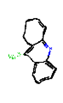 C1=Cc2nc3ccccc3cc2CC1.Cl.Cl